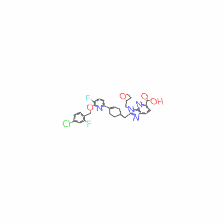 O=C(O)c1ccc2nc(CC3CC=C(c4ccc(F)c(OCc5ccc(Cl)cc5F)n4)CC3)n(CC3CCO3)c2n1